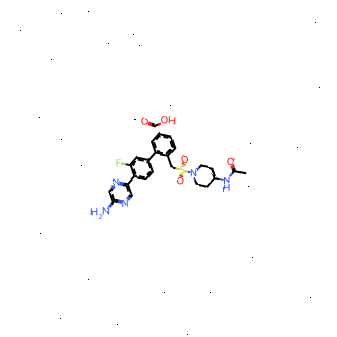 CC(=O)NC1CCN(S(=O)(=O)Cc2ccccc2-c2ccc(-c3cnc(N)cn3)c(F)c2)CC1.O=CO